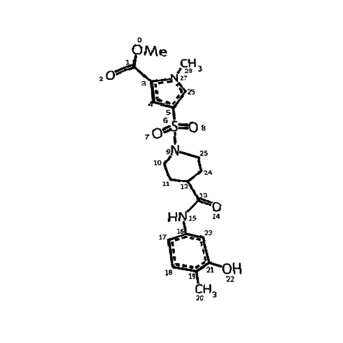 COC(=O)c1cc(S(=O)(=O)N2CCC(C(=O)Nc3ccc(C)c(O)c3)CC2)cn1C